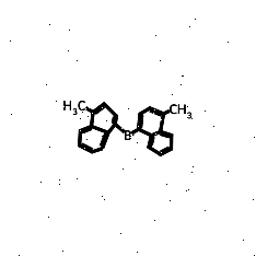 Cc1ccc([B]c2ccc(C)c3ccccc23)c2ccccc12